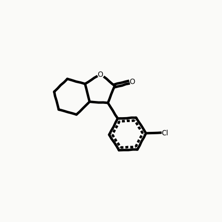 O=C1OC2CCCCC2C1c1cccc(Cl)c1